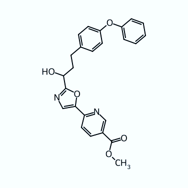 COC(=O)c1ccc(-c2cnc(C(O)CCc3ccc(Oc4ccccc4)cc3)o2)nc1